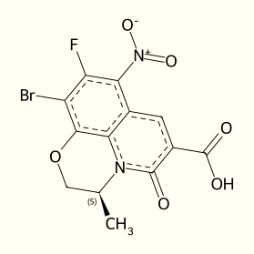 C[C@H]1COc2c(Br)c(F)c([N+](=O)[O-])c3cc(C(=O)O)c(=O)n1c23